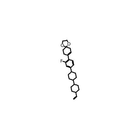 C=CC1CCC(C2CCC(c3ccc(C4=CCC5(CC4)OCCO5)c(F)c3)CC2)CC1